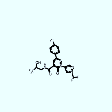 O=C(NCC(O)C(F)(F)F)c1cc(-c2ccc(Cl)cc2)nn(-c2cnn(C(F)F)c2)c1=O